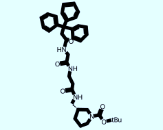 CC(C)(C)OC(=O)N1CCC[C@H](CNC(=O)CCNC(=O)CNC(=O)CC(c2ccccc2)(c2ccccc2)c2ccccc2)C1